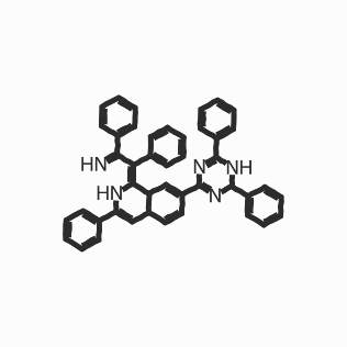 N=C(/C(=C1\NC(c2ccccc2)=CC2C=CC(C3=NC(c4ccccc4)NC(c4ccccc4)=N3)=CC12)c1ccccc1)c1ccccc1